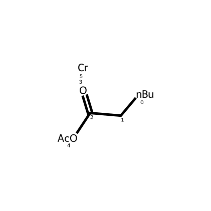 CCCCCC(=O)OC(C)=O.[Cr]